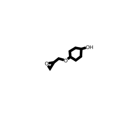 OC1CCC(OCC2CO2)CC1